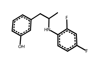 CC(Cc1cccc(O)c1)Nc1ccc(F)cc1F